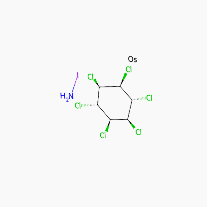 Cl[C@H]1[C@H](Cl)[C@@H](Cl)[C@@H](Cl)[C@H](Cl)[C@H]1Cl.NI.[Os]